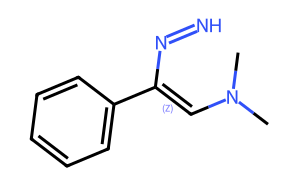 CN(C)/C=C(\N=N)c1ccccc1